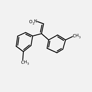 Cc1cccc(C(=C[N+](=O)[O-])c2cccc(C)c2)c1